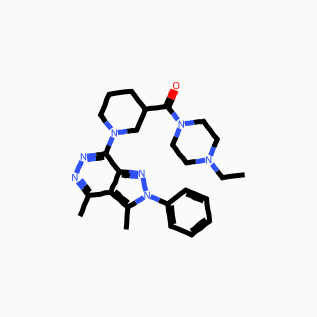 CCN1CCN(C(=O)C2CCCN(c3nnc(C)c4c(C)n(-c5ccccc5)nc34)C2)CC1